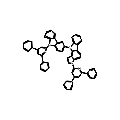 c1ccc(-c2cc(-c3ccccc3)nc(-n3ccc4c3ccc3c5ccccc5n(-c5ccc6c(c5)c5ccccc5n6-c5cc(-c6ccccc6)cc(-c6ccccc6)n5)c34)c2)cc1